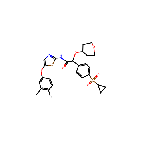 Cc1cc(Oc2cnc(NC(=O)C(OC3CCOCC3)c3ccc(S(=O)(=O)C4CC4)cc3)s2)ccc1C(=O)O